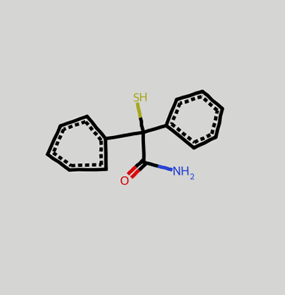 NC(=O)C(S)(c1ccccc1)c1ccccc1